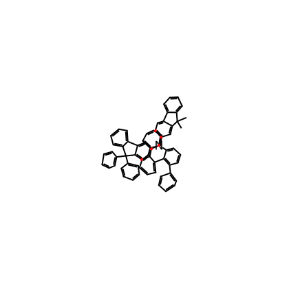 CC1(C)c2ccccc2-c2ccc(N(c3ccc4c(c3)-c3ccccc3C4(c3ccccc3)c3ccccc3)c3cccc(-c4ccccc4)c3-c3ccccc3-c3ccccc3)cc21